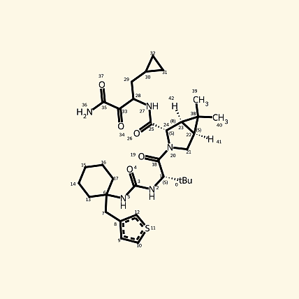 CC(C)(C)[C@H](NC(=O)NC1(Cc2ccsc2)CCCCC1)C(=O)N1C[C@H]2[C@@H]([C@H]1C(=O)NC(CC1CC1)C(=O)C(N)=O)C2(C)C